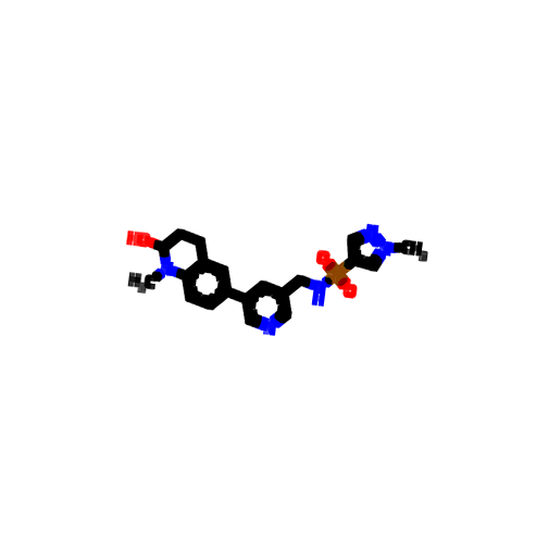 CN1c2ccc(-c3cncc(CNS(=O)(=O)c4cnn(C)c4)c3)cc2CCC1O